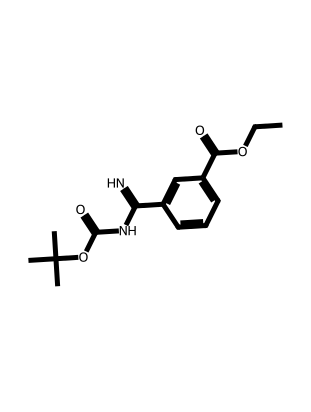 CCOC(=O)c1cccc(C(=N)NC(=O)OC(C)(C)C)c1